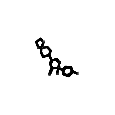 O=C1C=C(C2CC[N+]3(CC2)OCCO3)C=N[N+]1(Cl)c1ccc(Cl)cc1